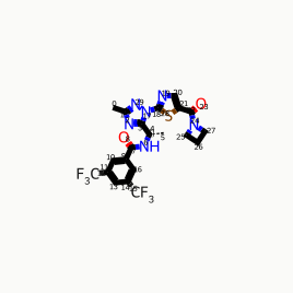 Cc1nc([C@H](C)NC(=O)c2cc(C(F)(F)F)cc(C(F)(F)F)c2)n(-c2ncc(C(=O)N3CCC3)s2)n1